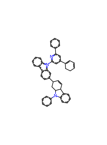 C1=CCCC(c2cc(-c3ccccc3)nc(-n3c4ccccc4c4ccc(C5C=CC6c7ccccc7N(c7ccccc7)C6C5)cc43)c2)=C1